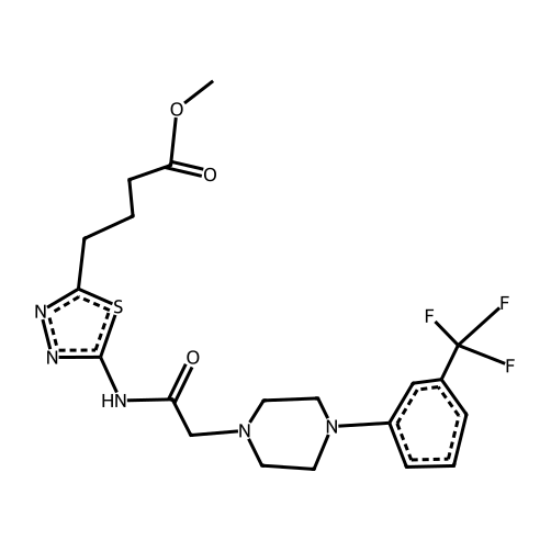 COC(=O)CCCc1nnc(NC(=O)CN2CCN(c3cccc(C(F)(F)F)c3)CC2)s1